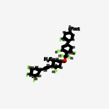 CCCCCc1ccc(-c2cc(F)c(C(F)(F)Oc3cc(C)c(C#Cc4cc(F)c(F)c(F)c4)c(F)c3)c(F)c2)c(F)c1